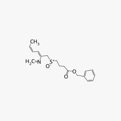 C=N/C(=C\C=C/C)C[S+]([O-])CCCC(=O)OCc1ccccc1